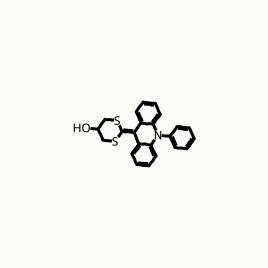 OC1CSC(=C2c3ccccc3N(c3ccccc3)c3ccccc32)SC1